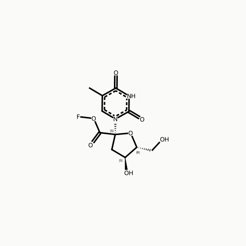 Cc1cn([C@@]2(C(=O)OF)C[C@H](O)[C@@H](CO)O2)c(=O)[nH]c1=O